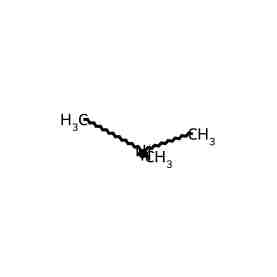 CCCCCCCCCCCCCCCCCC[n+]1ccn(C)c1CCCCCCCCCCCCCC